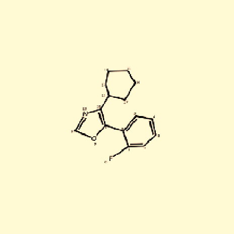 Fc1ccccc1-c1ocnc1C1CCCCC1